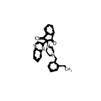 CCc1ccccc1CN1CCN(C2(c3cnc4ccccc4n3)C(=O)c3ccccc3C2=O)CC1